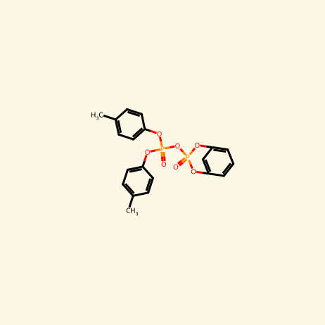 Cc1ccc(OP(=O)(Oc2ccc(C)cc2)OP2(=O)Oc3cccc(c3)O2)cc1